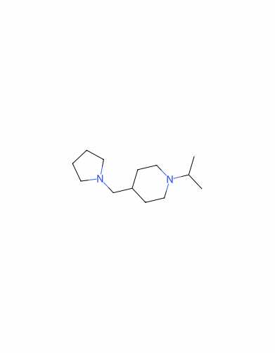 CC(C)N1CCC(CN2CCCC2)CC1